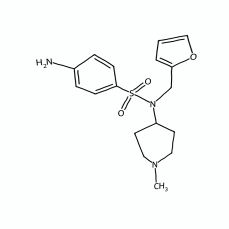 CN1CCC(N(Cc2ccco2)S(=O)(=O)c2ccc(N)cc2)CC1